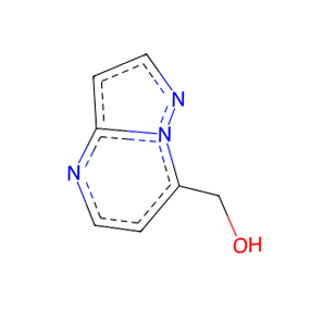 OCc1ccnc2ccnn12